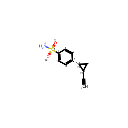 C#C[C@@H]1C[C@H]1c1ccc(S(N)(=O)=O)cc1